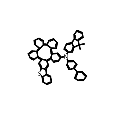 CC1(C)c2ccccc2-c2ccc(N(c3ccc(-c4ccccc4)cc3)c3ccc4c(c3)c3ccccc3c3ccccc3c3ccccc3c3cc5sc6ccccc6c5cc43)cc21